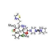 COC(=O)C1=C(CCc2nccs2)NC(CC(=O)N2CCN(C3CC4CCC(C3)N4C(C)C)CC2)=C(C(=O)OC)C1c1c(Cl)cccc1Cl